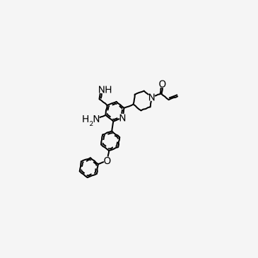 C=CC(=O)N1CCC(c2cc(C=N)c(N)c(-c3ccc(Oc4ccccc4)cc3)n2)CC1